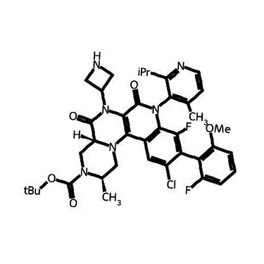 COc1cccc(F)c1-c1c(Cl)cc2c3c(c(=O)n(-c4c(C)ccnc4C(C)C)c2c1F)N(C1CNC1)C(=O)[C@H]1CN(C(=O)OC(C)(C)C)[C@H](C)CN31